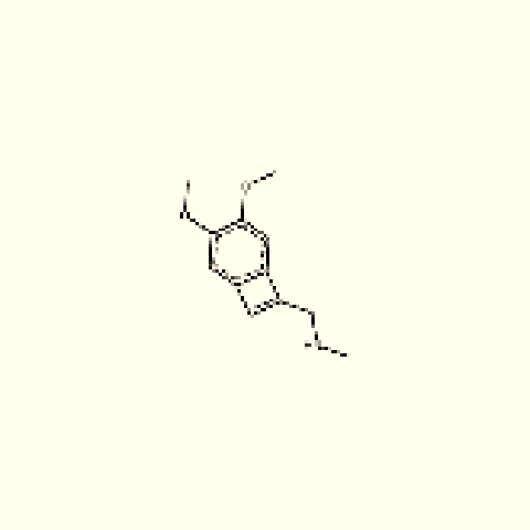 CNCC1=Cc2cc(OC)c(OC)cc21